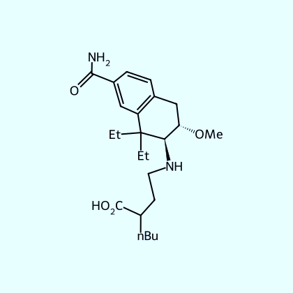 CCCCC(CCN[C@@H]1[C@@H](OC)Cc2ccc(C(N)=O)cc2C1(CC)CC)C(=O)O